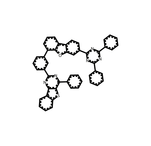 c1ccc(-c2nc(-c3ccccc3)nc(-c3ccc4c(c3)oc3c(-c5cccc(-c6nc(-c7ccccc7)c7sc8ccccc8c7n6)c5)cccc34)n2)cc1